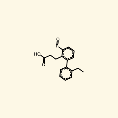 CCc1ccccc1-c1cccc(P=O)c1CCC(=O)O